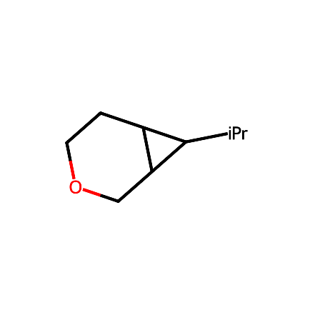 CC(C)C1C2CCOCC21